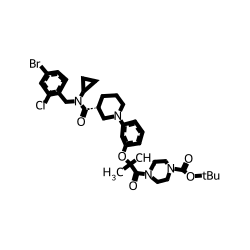 CC(C)(C)OC(=O)N1CCN(C(=O)C(C)(C)Oc2cccc(N3CCC[C@@H](C(=O)N(Cc4ccc(Br)cc4Cl)C4CC4)C3)c2)CC1